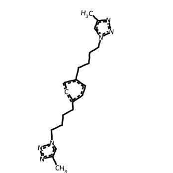 Cc1cn(CCCCc2ccc(CCCCn3cc(C)nn3)cc2)nn1